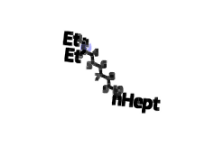 CC/[C]=C(\CC)CCCCCCCCCCCCCC